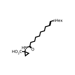 CCCCCCC=CCCCCCCCC(=O)NC1(C(=O)O)CC1